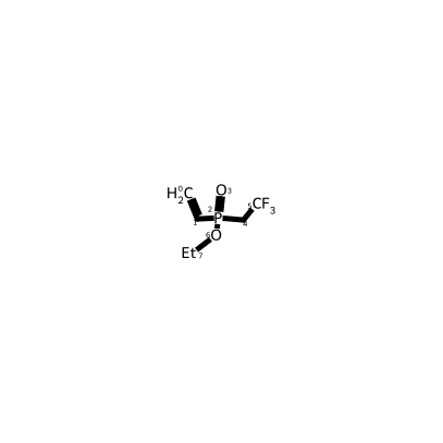 C=CP(=O)(CC(F)(F)F)OCC